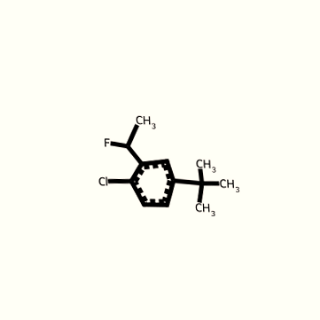 CC(F)c1cc(C(C)(C)C)ccc1Cl